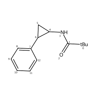 CC(C)(C)C(=O)NC1CC1c1ccccc1